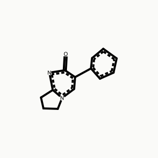 O=c1nc2n(cc1-c1ccccc1)CCC2